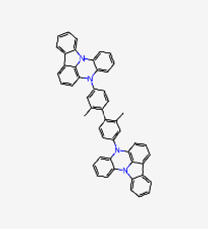 Cc1cc(N2c3ccccc3-n3c4ccccc4c4cccc2c43)ccc1-c1ccc(N2c3ccccc3-n3c4ccccc4c4cccc2c43)cc1C